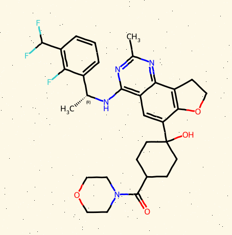 Cc1nc(N[C@H](C)c2cccc(C(F)F)c2F)c2cc(C3(O)CCC(C(=O)N4CCOCC4)CC3)c3c(c2n1)CCO3